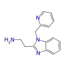 NCCc1nc2ccccc2n1Cc1ccccn1